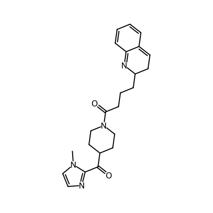 Cn1ccnc1C(=O)C1CCN(C(=O)CCCC2CC=c3ccccc3=N2)CC1